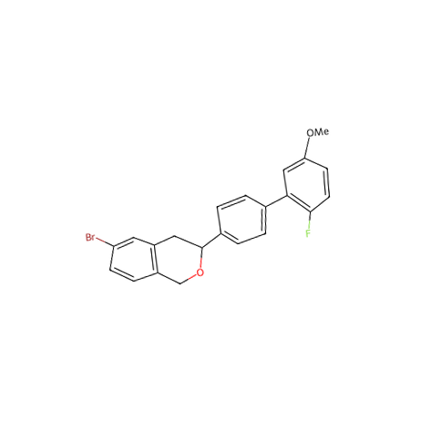 COc1ccc(F)c(-c2ccc(C3Cc4cc(Br)ccc4CO3)cc2)c1